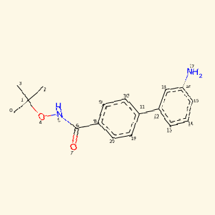 CC(C)(C)ONC(=O)c1ccc(-c2cccc(N)c2)cc1